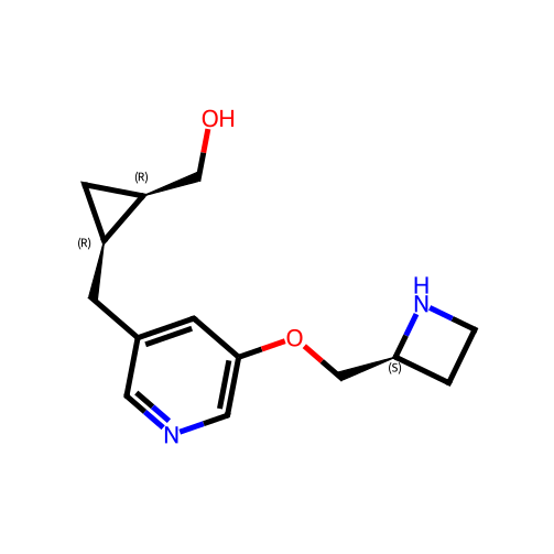 OC[C@@H]1C[C@@H]1Cc1cncc(OC[C@@H]2CCN2)c1